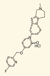 CN1CCc2c(sc3cc(-n4ccc(OCc5ccc(F)cn5)cc4=O)ccc23)C1.Cl